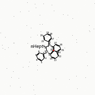 CCCCCCCC(P(c1ccccc1)c1ccccc1)P(c1ccccc1)c1ccccc1